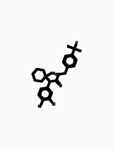 O=C(NCc1ccc(C(F)(F)F)cc1)C(c1ccc(Cl)c(Cl)c1)C1(O)CCCCC1